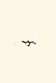 C/C=C\C1=C(C)C(=C(C)C)NC1=O